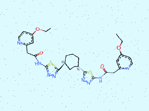 CCOc1ccnc(CC(=O)Nc2nnc([C@H]3CCC[C@H](c4nnc(NC(=O)Cc5cc(OCC)ccn5)s4)C3)s2)c1